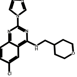 Clc1ccc2nc(-n3ccnc3)nc(NCC3CCOCC3)c2c1